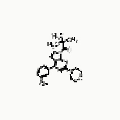 CC(C)(C)C(=O)N1CCc2c(-c3cccc(O)c3)nc(N3CCOCC3)nc21